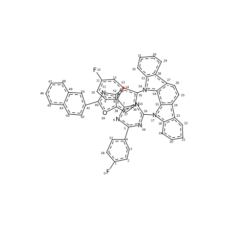 Fc1ccc(-c2nc(-c3ccc(F)cc3)nc(-n3c4ccccc4c4ccc5c6ccccc6n(-c6ccc7oc(-c8ccc9ccccc9c8)nc7c6)c5c43)n2)cc1